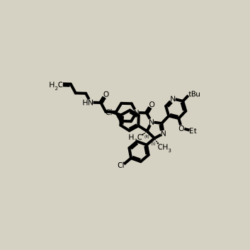 C=CCCNC(=O)CC1CCN(C(=O)N2C(c3cnc(C(C)(C)C)cc3OCC)=N[C@@](C)(c3ccc(Cl)cc3)[C@@]2(C)c2ccc(Cl)cc2)CC1